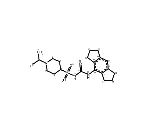 CC(I)N1CCC(S(=O)(=O)NC(=O)Nc2c3c(cc4c2CCC4)CCC3)CC1